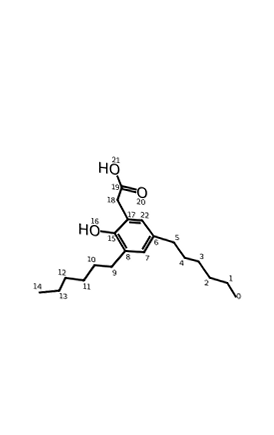 CCCCCCc1cc(CCCCCC)c(O)c(CC(=O)O)c1